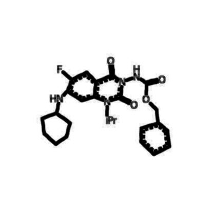 CC(C)n1c(=O)n(NC(=O)OCc2ccccc2)c(=O)c2cc(F)c(NC3CCCCC3)cc21